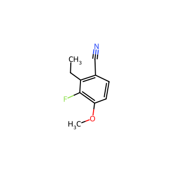 CCc1c(C#N)ccc(OC)c1F